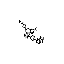 FC(F)(F)c1cccc(N2CCC(c3nnc4n3-c3ccc(Cl)cc3CN(C3CC(C(F)(F)F)C3)C4)CC2)n1